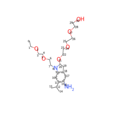 CCOCCOCCN1c2cc(C(C)C)c(N)cc2CC1OCCOCCOCCO